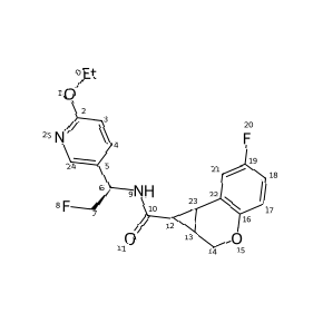 CCOc1ccc([C@H](CF)NC(=O)C2C3COc4ccc(F)cc4C32)cn1